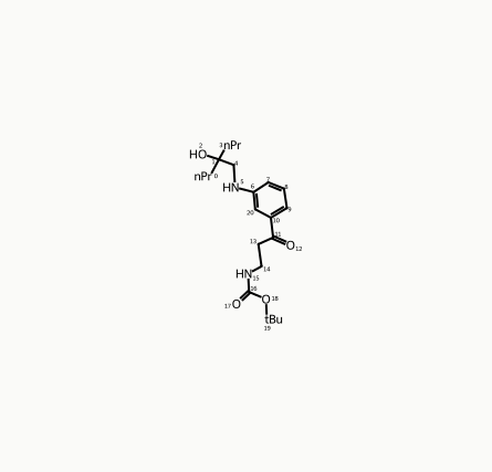 CCCC(O)(CCC)CNc1cccc(C(=O)CCNC(=O)OC(C)(C)C)c1